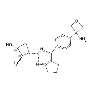 C[C@H]1[C@H](O)CN1c1nc2c(c(-c3ccc(C4(N)COC4)cc3)n1)CCC2